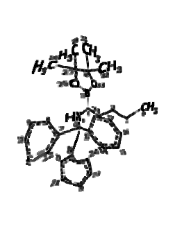 CCCCC(NC(c1ccccc1)(c1ccccc1)c1ccccc1)B1OC(C)(C)C(C)(C)O1